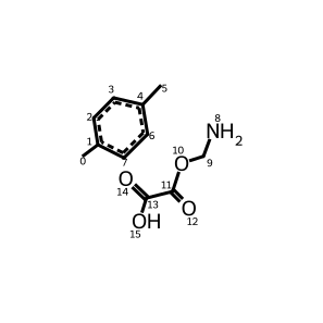 Cc1ccc(C)cc1.NCOC(=O)C(=O)O